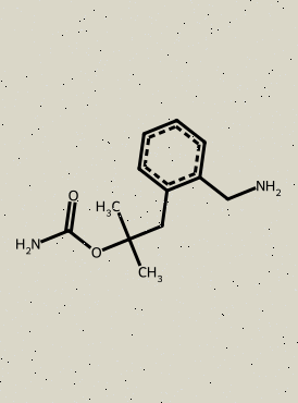 CC(C)(Cc1ccccc1CN)OC(N)=O